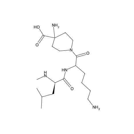 CN[C@H](CC(C)C)C(=O)NC(CCCCN)C(=O)N1CCC(N)(C(=O)O)CC1